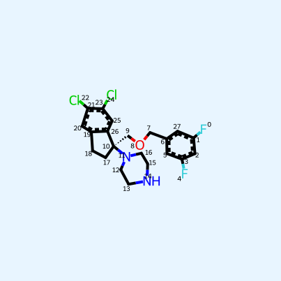 Fc1cc(F)cc(COC[C@]2(N3CCNCC3)CCc3cc(Cl)c(Cl)cc32)c1